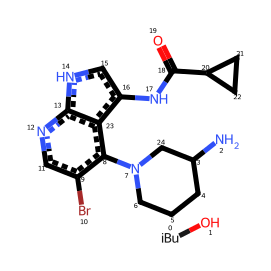 CCC(C)O.NC1CCCN(c2c(Br)cnc3[nH]cc(NC(=O)C4CC4)c23)C1